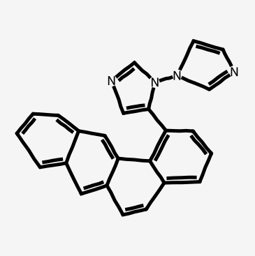 c1ccc2cc3c(ccc4cccc(-c5cncn5-n5ccnc5)c43)cc2c1